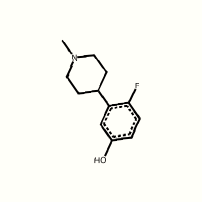 CN1CCC(c2cc(O)ccc2F)CC1